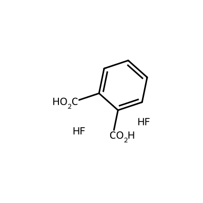 F.F.O=C(O)c1ccccc1C(=O)O